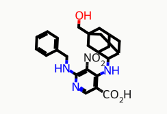 O=C(O)c1cnc(NCc2ccccc2)c([N+](=O)[O-])c1NC1C2CC3CC1CC(CO)(C3)C2